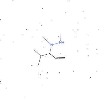 C=CC(C(C)C)N(C)NC